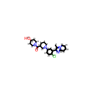 Cc1c(-c2cc(N3CCCC(C(=O)N4CCC(O)CC4)C3)ccc2Cl)nc2ccccn12